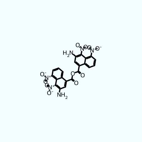 Nc1cc(C(=O)OC(=O)c2cc(N)c([N+](=O)[O-])c3c([N+](=O)[O-])cccc23)c2cccc([N+](=O)[O-])c2c1[N+](=O)[O-]